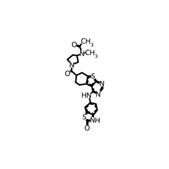 CC(=O)N(C)C1CCN(C(=O)C2CCc3c(sc4ncnc(Nc5ccc6[nH]c(=O)sc6c5)c34)C2)C1